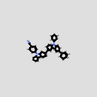 N#Cc1ccc(-n2c3ccccc3c3ccc(-c4ccc5c(c4)c4cc(-c6ccccc6)ccc4n5-c4ccccc4)cc32)cc1